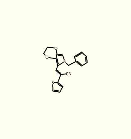 N#C/C(=C\c1c2c(cn1Cc1ccccc1)OCCO2)c1cccs1